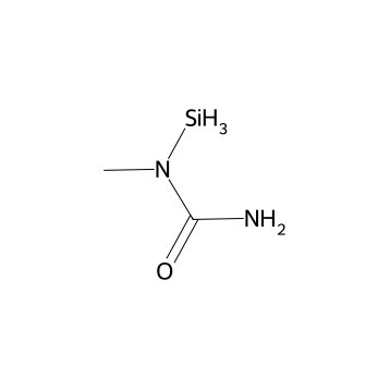 CN([SiH3])C(N)=O